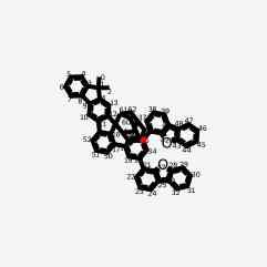 CC1(C)c2ccccc2-c2cc3c(cc21)C1(c2c(-c4cc(-c5cccc6c5oc5ccccc56)cc(-c5cccc6c5oc5ccccc56)c4)cccc2-3)C2CC3CC(C2)CC1C3